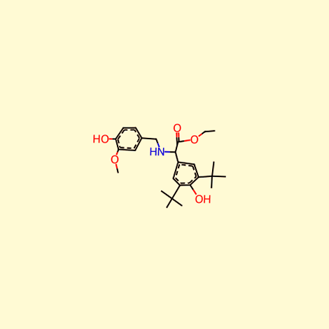 CCOC(=O)C(NCc1ccc(O)c(OC)c1)c1cc(C(C)(C)C)c(O)c(C(C)(C)C)c1